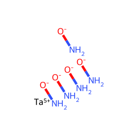 N[O-].N[O-].N[O-].N[O-].N[O-].[Ta+5]